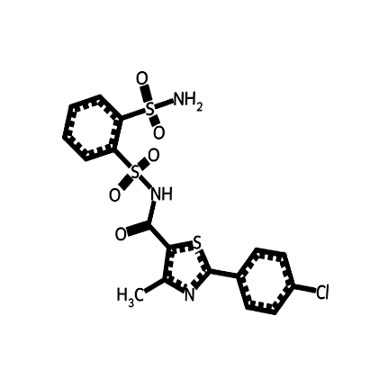 Cc1nc(-c2ccc(Cl)cc2)sc1C(=O)NS(=O)(=O)c1ccccc1S(N)(=O)=O